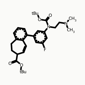 CN(C)CCN(C(=O)OC(C)(C)C)c1cc(F)cc(-c2cccc3c2C=CC(C(=O)OC(C)(C)C)CC3)c1